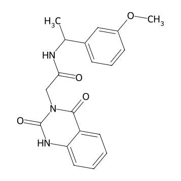 COc1cccc(C(C)NC(=O)Cn2c(=O)[nH]c3ccccc3c2=O)c1